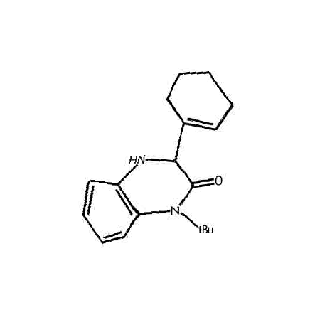 CC(C)(C)N1C(=O)C(C2=CCCCC2)Nc2ccc[c]c21